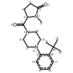 CN1C(=O)CCC1C(=O)N1CCN(c2ccccc2C(C)(C)C)CC1